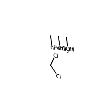 CCCCCC.CCOC(C)=O.CO.ClCCl